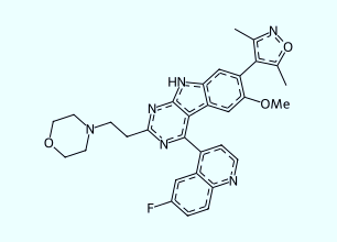 COc1cc2c(cc1-c1c(C)noc1C)[nH]c1nc(CCN3CCOCC3)nc(-c3ccnc4ccc(F)cc34)c12